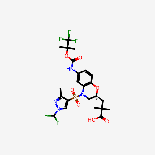 Cc1nn(C(F)F)cc1S(=O)(=O)N1C[C@H](CC(C)(C)C(=O)O)Oc2ccc(NC(=O)OC(C)(C)C(F)(F)F)cc21